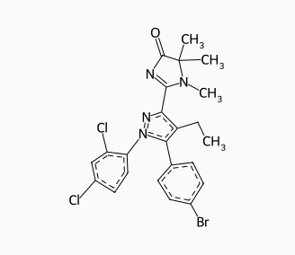 CCc1c(C2=NC(=O)C(C)(C)N2C)nn(-c2ccc(Cl)cc2Cl)c1-c1ccc(Br)cc1